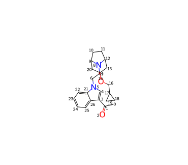 CC(=O)c1cn(CCN2C3CCC2CC(OCC2CC2)C3)c2ccccc12